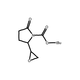 CC(C)(C)OC(=O)N1C(=O)CCC1C1CO1